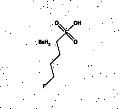 O=S(=O)(O)CCCCF.[BaH2]